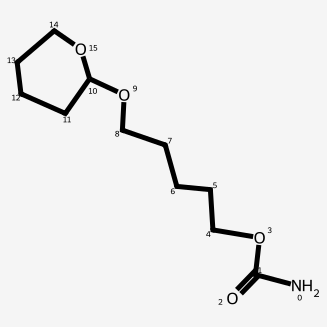 NC(=O)OCCCCCOC1CCCCO1